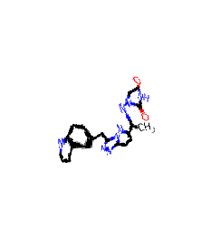 CC(=NN1CC(=O)NC1=O)c1ccc2nnc(Cc3ccc4ncccc4c3)n2n1